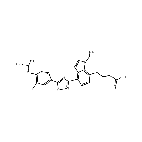 CCn1ccc2c(-c3noc(-c4ccc(OC(C)C)c(Cl)c4)n3)ccc(CCCC(=O)O)c21